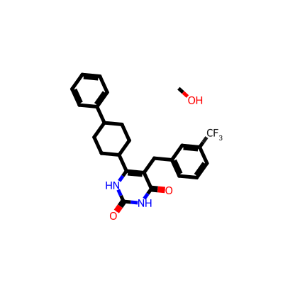 CO.O=c1[nH]c(C2CCC(c3ccccc3)CC2)c(Cc2cccc(C(F)(F)F)c2)c(=O)[nH]1